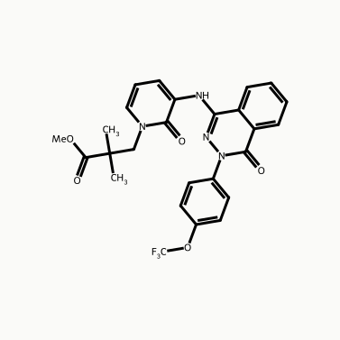 COC(=O)C(C)(C)Cn1cccc(Nc2nn(-c3ccc(OC(F)(F)F)cc3)c(=O)c3ccccc23)c1=O